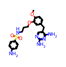 COc1ccc(Cc2cnc(N)nc2N)cc1OCCCNS(=O)(=O)c1ccc(N)cc1